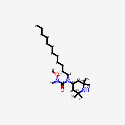 CCCCCCCCCCCCN(C(=O)N(C)OC)C1CC(C)(C)NC(C)(C)C1